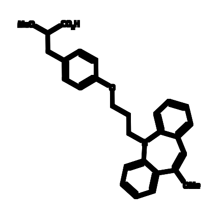 COC1=Cc2ccccc2N(CCCOc2ccc(CC(OC)C(=O)O)cc2)c2ccccc21